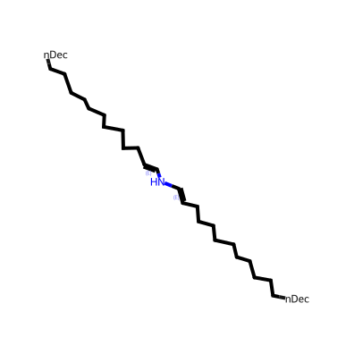 CCCCCCCCCCCCCCCCCCCC/C=C/N/C=C/CCCCCCCCCCCCCCCCCCCC